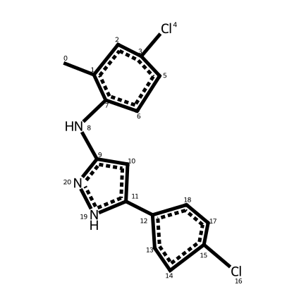 Cc1cc(Cl)ccc1Nc1cc(-c2ccc(Cl)cc2)[nH]n1